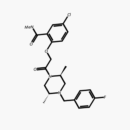 CNC(=O)c1cc(Cl)ccc1OCC(=O)N1C[C@@H](C)N(Cc2ccc(F)cc2)C[C@@H]1C